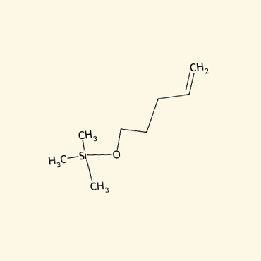 C=CCCCO[Si](C)(C)C